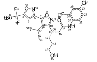 CC(C)(C)C(F)(F)c1cc(-c2onc([C@@H](CCCO)CC(=O)Nc3ccc(Cl)cc3F)c2C(F)F)no1